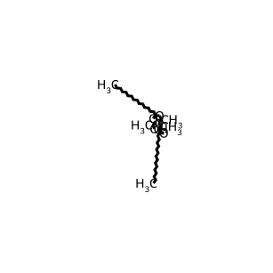 CCCCCCCCCCCCCCCC(=O)OC(C)N(CC(C)O)C(C)OC(=O)CCCCCCCCCCCCCCC